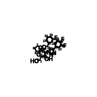 OC[C@H]1O[C@@]2(CCCO2)[C@H](OCc2ccccc2)[C@@H](n2cc(-c3cc(F)c(F)c(F)c3)nn2)[C@H]1O